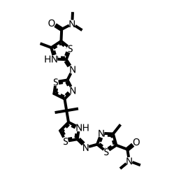 Cc1nc(/N=c2\[nH]c(C(C)(C)c3csc(/N=c4\[nH]c(C)c(C(=O)N(C)C)s4)n3)cs2)sc1C(=O)N(C)C